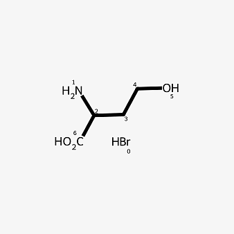 Br.NC(CCO)C(=O)O